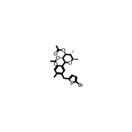 CC(=O)O[C@H]1[C@H](C)[C@@H](C)OC(c2ccc(C)c(Cc3ccc(Br)s3)c2)[C@@H]1OC(C)=O